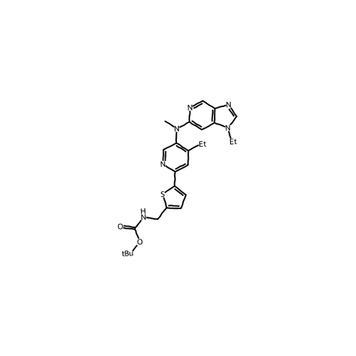 CCc1cc(-c2ccc(CNC(=O)OC(C)(C)C)s2)ncc1N(C)c1cc2c(cn1)ncn2CC